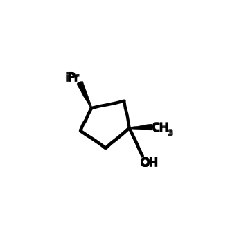 CC(C)[C@@H]1CC[C@@](C)(O)C1